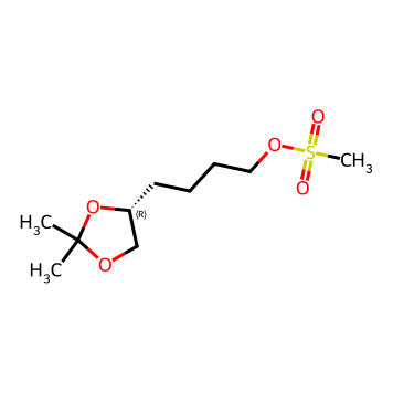 CC1(C)OC[C@@H](CCCCOS(C)(=O)=O)O1